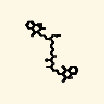 CCOC(=O)N(CCCCNC(=O)OC(C)CCCn1c(=O)[nH]c2ccccc2c1=O)CCCn1c(=O)[nH]c2ccccc2c1=O